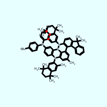 Cc1cc2c3c(c1)N(c1cc4c(cc1C)C(C)(C)CCC4(C)C)c1ccc(N(c4ccc(C(C)(C)C)cc4)c4ccc(C(C)(C)C)cc4)cc1B3N(c1ccc3c(c1)C(C)(C)CCC3(C)C)c1ccc3c(c1-2)-c1ccccc1C3(C)C